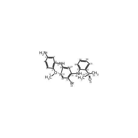 COc1ccc(N)cc1Nc1ncc(Br)c(Nc2ccccc2P(C)(C)=O)n1